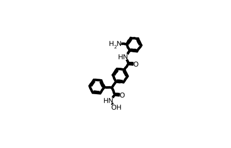 Nc1ccccc1NC(=O)c1ccc(C(C(=O)NO)c2ccccc2)cc1